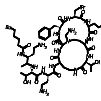 CCC(C)CCCCC(=O)N[C@@H](CCN)C(C)N[C@H](C(=O)N[C@@H](CCN)C(=O)NC1CCNC(=O)[C@H](C(C)O)NC(=O)[C@@H]2CCN(CN)[C@H](NC1=O)C(=O)N[C@H](Cc1ccccc1)C(=O)N[C@@H](CC(C)C)C(=O)NC(CCN)C(=O)N2)C(C)O